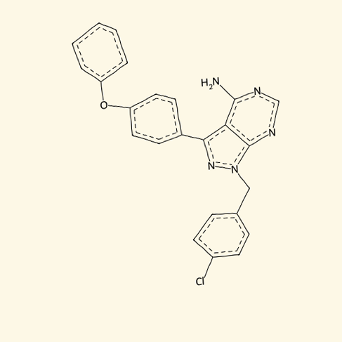 Nc1ncnc2c1c(-c1ccc(Oc3ccccc3)cc1)nn2Cc1ccc(Cl)cc1